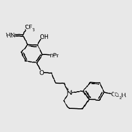 CCCc1c(OCCCN2CCCc3cc(C(=O)O)ccc32)ccc(C(=N)C(F)(F)F)c1O